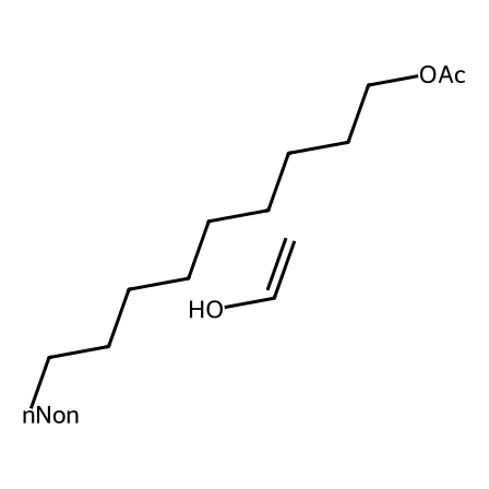 C=CO.CCCCCCCCCCCCCCCCCCOC(C)=O